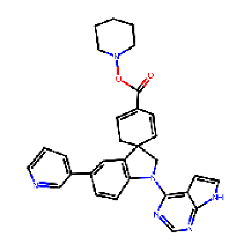 O=C(ON1CCCCC1)C1=CCC2(C=C1)CN(c1ncnc3[nH]ccc13)c1ccc(-c3cccnc3)cc12